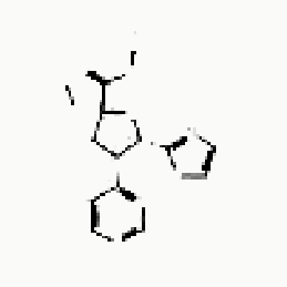 CC(C)C[C@@]1(C(=O)OC(C)(C)C)C[C@H](c2ccncn2)[C@H](c2nccs2)N1